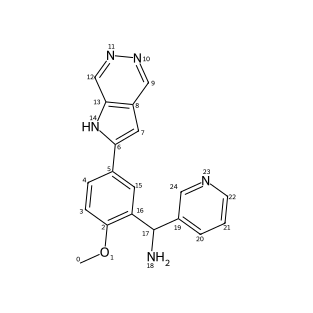 COc1ccc(-c2cc3cnncc3[nH]2)cc1C(N)c1cccnc1